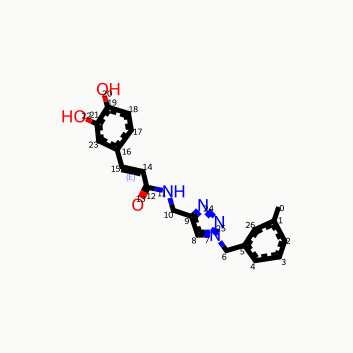 Cc1cccc(Cn2cc(CNC(=O)/C=C/c3ccc(O)c(O)c3)nn2)c1